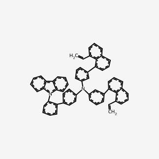 C=Cc1cccc2cccc(-c3cccc(N(c4ccc(-c5ccccc5-n5c6ccccc6c6ccccc65)cc4)c4cccc(-c5cccc6cccc(C=C)c56)c4)c3)c12